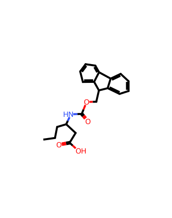 CCCC(CC(=O)O)NC(=O)OCC1c2ccccc2-c2ccccc21